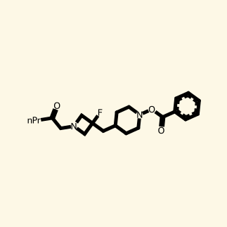 CCCC(=O)CN1CC(F)(CC2CCN(OC(=O)c3ccccc3)CC2)C1